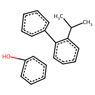 CC(C)c1ccccc1-c1ccccc1.Oc1ccccc1